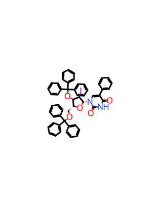 O=c1[nH]c(=O)n([C@@H]2O[C@H](COC(c3ccccc3)(c3ccccc3)c3ccccc3)[C@@H](OC(c3ccccc3)(c3ccccc3)c3ccccc3)[C@H]2I)cc1-c1ccccc1